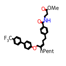 CCCCCC(=CCCc1ccc(C(=O)NCCC(=O)OC)cc1)COc1ccc(-c2ccc(C(F)(F)F)cc2)cc1